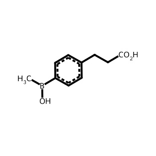 CB(O)c1ccc(CCC(=O)O)cc1